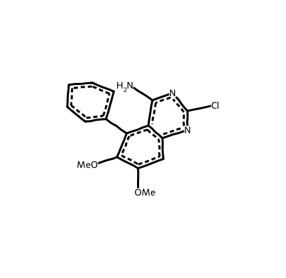 COc1cc2nc(Cl)nc(N)c2c(-c2ccccc2)c1OC